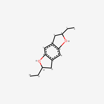 CCC1Cc2cc3c(cc2O1)CC(CC)O3